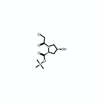 C[Si](C)(C)OC(=O)[C@@H]1C[C@H](O)CN1C(=O)CCl